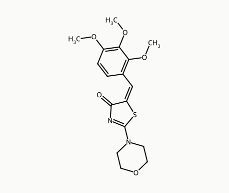 COc1ccc(C=C2SC(N3CCOCC3)=NC2=O)c(OC)c1OC